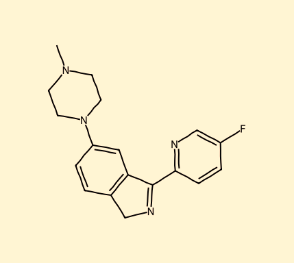 CN1CCN(c2ccc3c(c2)C(c2ccc(F)cn2)=NC3)CC1